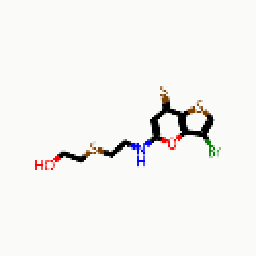 OCCSCCNc1cc(=S)c2scc(Br)c2o1